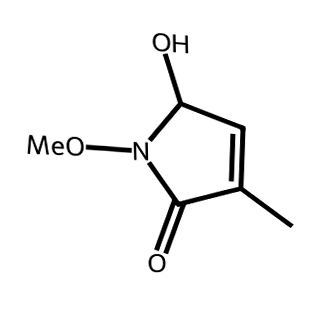 CON1C(=O)C(C)=CC1O